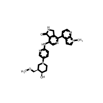 COC[C@H]1CN(c2ccc(Nc3cnc(-c4ccnc5c4ccn5C)c4c3C(=O)NC4)nc2)CC[C@H]1O